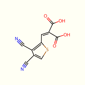 N#Cc1csc(C=C(C(=O)O)C(=O)O)c1C#N